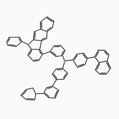 C1=CCC(c2cccc(-c3ccc(N(c4ccc(-c5cccc6ccccc56)cc4)c4cccc(-c5cccc6c5c5cc7ccccc7cc5n6-c5ccccc5)c4)cc3)c2)C=C1